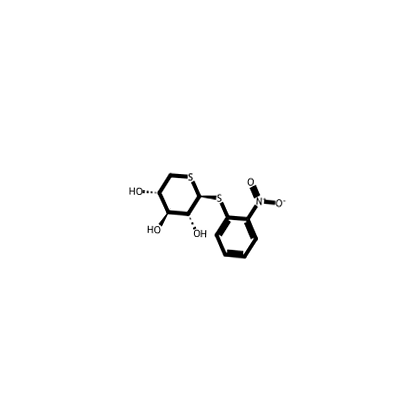 O=[N+]([O-])c1ccccc1S[C@@H]1SC[C@@H](O)[C@H](O)[C@H]1O